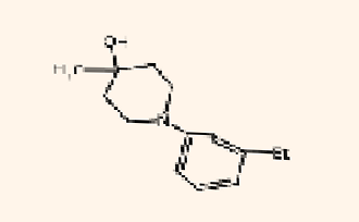 CCc1cccc(N2CCC(C)(O)CC2)c1